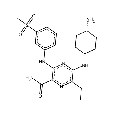 CCc1nc(C(N)=O)c(Nc2cccc(S(C)(=O)=O)c2)nc1N[C@H]1CC[C@@H](N)CC1